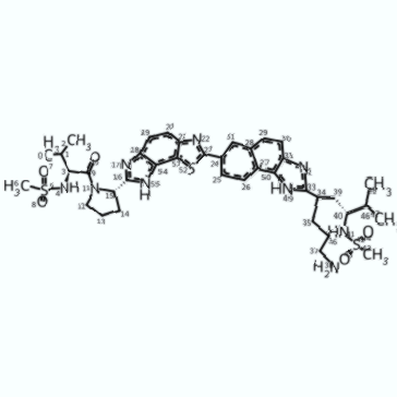 CC(C)[C@H](NS(C)(=O)=O)C(=O)N1CCC[C@H]1c1nc2ccc3nc(-c4ccc5c(ccc6nc(C(CCCN)C[C@@H](NS(C)(=O)=O)C(C)C)[nH]c65)c4)sc3c2[nH]1